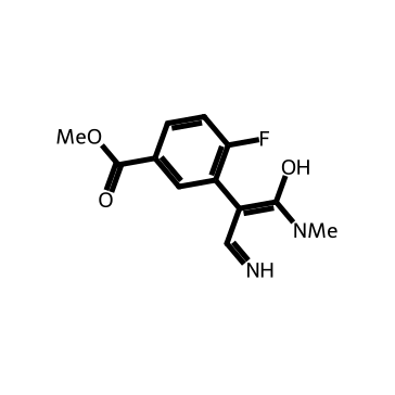 CN/C(O)=C(\C=N)c1cc(C(=O)OC)ccc1F